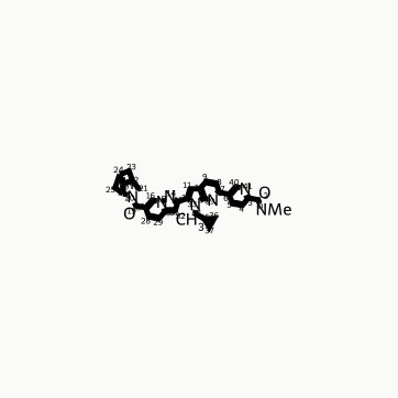 CNC(=O)c1ccc(-c2ccc3cc(-c4nn5cc(C(=O)N6CC7CC8CC6[C@H]87)ccc5c4C)n(CC4CC4)c3n2)cn1